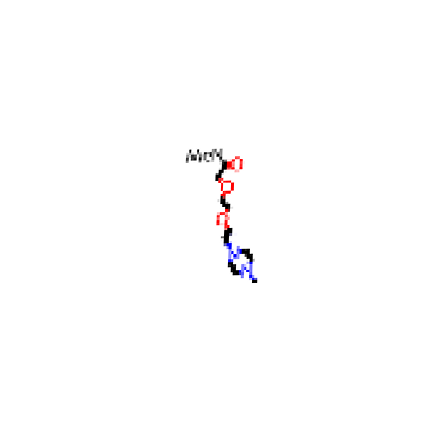 CNC(=O)COCCO/C=C/N1CCN(C)CC1